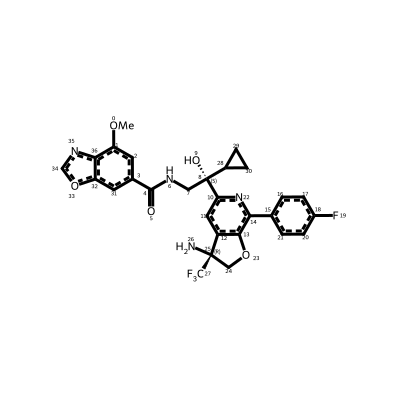 COc1cc(C(=O)NC[C@](O)(c2cc3c(c(-c4ccc(F)cc4)n2)OC[C@@]3(N)C(F)(F)F)C2CC2)cc2ocnc12